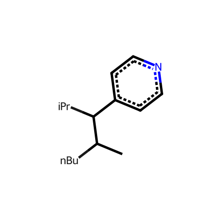 CCCCC(C)C(c1ccncc1)C(C)C